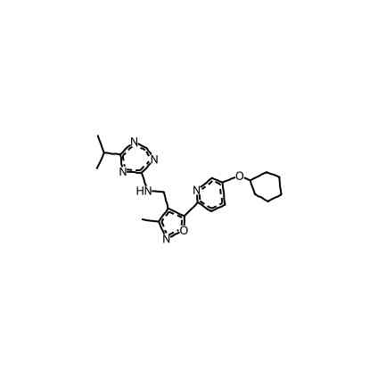 Cc1noc(-c2ccc(OC3CCCCC3)cn2)c1CNc1ncnc(C(C)C)n1